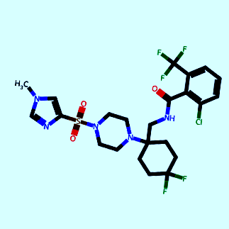 Cn1cnc(S(=O)(=O)N2CCN(C3(CNC(=O)c4c(Cl)cccc4C(F)(F)F)CCC(F)(F)CC3)CC2)c1